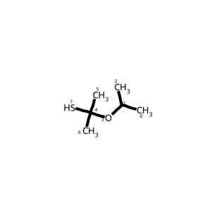 CC(C)OC(C)(C)S